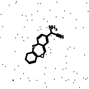 N#CC(N)C1=CC2=COC3=C(CCC=C3)SC2C=C1